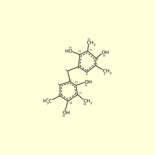 Cc1cc(Cc2cc(C)c(O)c(C)c2O)c(O)c(C)c1O